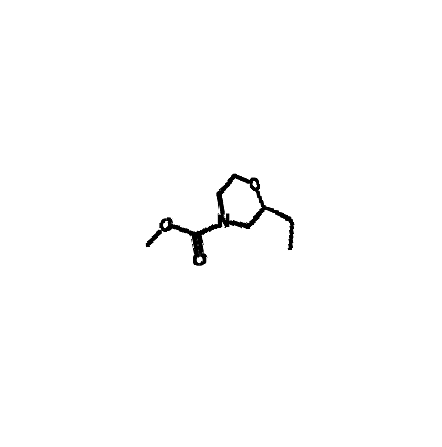 CC[C@H]1CN(C(=O)OC)CCO1